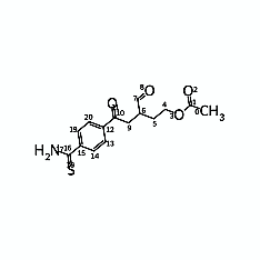 CC(=O)OCCC(C=O)CC(=O)c1ccc(C(N)=S)cc1